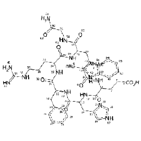 CCCCC(NC(C)=O)C(=O)NC(CCC(=O)O)C(=O)NC(Cc1c[nH]cn1)C(=O)NC(Cc1ccccc1)C(=O)NC(CCCNC(=N)N)C(=O)NC(Cc1c[nH]c2ccccc12)C(=O)NCC(N)=O